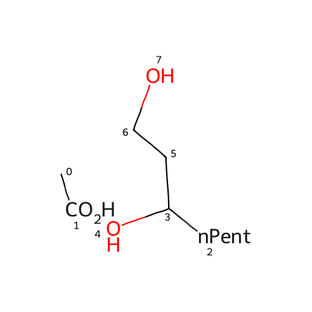 CC(=O)O.CCCCCC(O)CCO